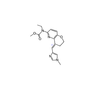 CCN(C(=O)OC)c1ccc2c(n1)/C(=C/c1cn(C)cn1)CCO2